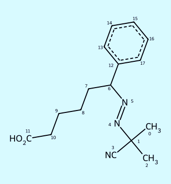 CC(C)(C#N)/N=N/C(CCCCC(=O)O)c1ccccc1